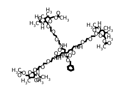 CC(=O)NC1C(OCCOCCOCCNCC(=O)CCC(CCC(=O)NCCOCCOCCOC2OC(COC(C)=O)C(C)C(C)C2NC(C)=O)(CC(=O)NCCOCCOCCOC2OC(COC(C)=O)C(C)C(C)C2NC(C)=O)NC(=O)OCc2ccccc2)OC(COC(C)=O)C(C)C1C